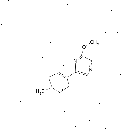 COc1cncc(C2=CCC(C)CC2)n1